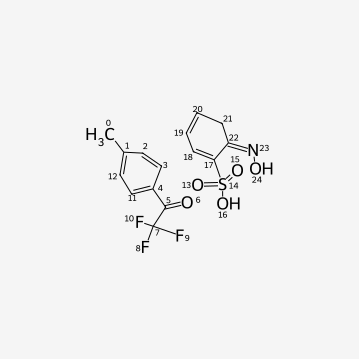 Cc1ccc(C(=O)C(F)(F)F)cc1.O=S(=O)(O)C1=CC=CCC1=NO